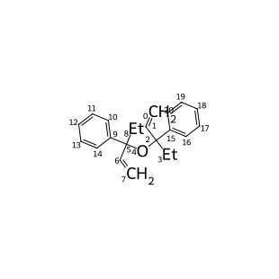 C=CC(CC)(OC(C=C)(CC)c1ccccc1)c1ccccc1